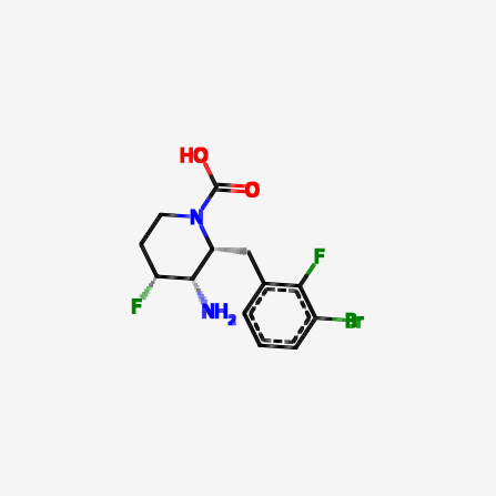 N[C@@H]1[C@H](F)CCN(C(=O)O)[C@@H]1Cc1cccc(Br)c1F